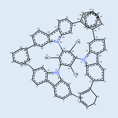 CC(C)(C)c1ccc2c3ccc(C(C)(C)C)cc3n(-c3c(C#N)c(-n4c5cc(C6=CC=CCC6)ccc5c5ccc(-c6ccccc6)cc54)c(C#N)c(-n4c5cc(-c6ccccc6)ccc5c5ccc(-c6ccccc6)cc54)c3C#N)c2c1